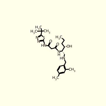 CCC[C@H](O)[C@H](CNCc1ccc(C)cc1C)NC(=O)CC(=O)Nc1nnc(C(C)(C)C)s1